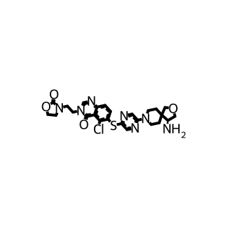 N[C@@H]1COCC12CCN(c1cnc(Sc3ccc4ncn(CCN5CCOC5=O)c(=O)c4c3Cl)cn1)CC2